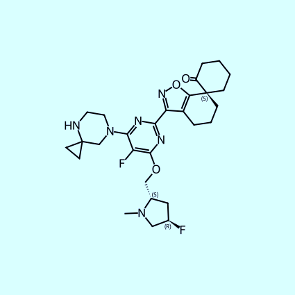 CN1C[C@H](F)C[C@H]1COc1nc(-c2noc3c2CCC[C@@]32CCCCC2=O)nc(N2CCNC3(CC3)C2)c1F